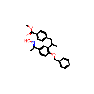 COC(=O)c1ccc(CC(C)c2cc(C(C)=NO)ccc2OCc2ccccc2)cc1